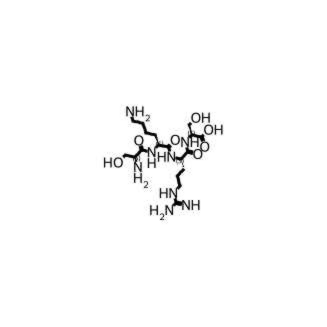 N=C(N)NCCC[C@H](NC(=O)[C@H](CCCCN)NC(=O)[C@@H](N)CO)C(=O)N[C@@H](CO)C(=O)O